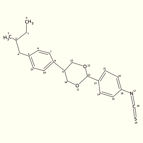 CCC(C)Cc1ccc(C2COC(c3ccc(N=C=S)cc3)OC2)cc1